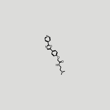 CN(C)CCNC(=O)COc1ccc(-c2cnc(-c3ccncc3)o2)cc1